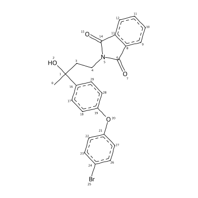 CC(O)(CCN1C(=O)c2ccccc2C1=O)c1ccc(Oc2ccc(Br)cc2)cc1